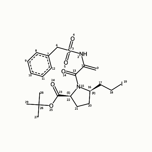 C=C(NS(=O)(=O)Cc1ccccc1)C(=O)N1[C@@H](CCI)CC[C@H]1C(=O)OC(C)(C)C